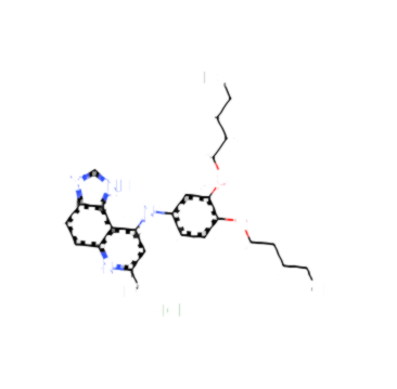 CCCCCOc1ccc(Nc2cc(C)nc3ccc4nc[nH]c4c23)cc1OCCCCC.Cl